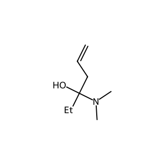 C=CCC(O)(CC)N(C)C